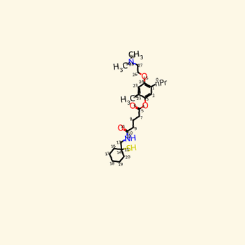 CCCc1cc(OC(=O)CCCC(=O)NCC2(S)CCCCC2)c(C)cc1OCCN(C)C